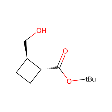 CC(C)(C)OC(=O)[C@@H]1CC[C@H]1CO